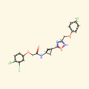 O=C(COc1ccc(Cl)c(F)c1)NC12CC(c3nc(COc4ccc(Cl)cc4)no3)(C1)C2